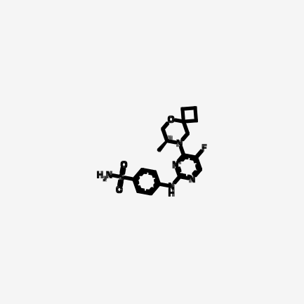 C[C@H]1COC2(CCC2)CN1c1nc(Nc2ccc(S(N)(=O)=O)cc2)ncc1F